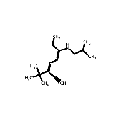 C#C/C(=C\C=C(/CC)NCC(C)C)C(C)(C)C